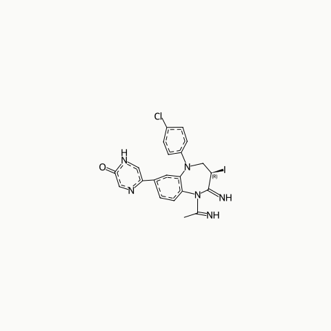 CC(=N)N1C(=N)[C@H](I)CN(c2ccc(Cl)cc2)c2cc(-c3c[nH]c(=O)cn3)ccc21